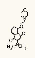 CN(C)C1=CC(=O)c2c(OCCN3CCOCC3)cccc2C1=O